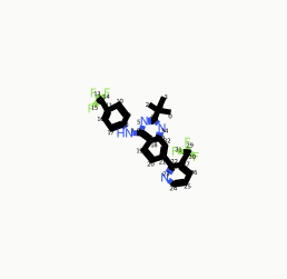 CC(C)(C)c1nc(Nc2ccc(C(F)(F)F)cc2)c2ccc(-c3ncccc3C(F)(F)F)cc2n1